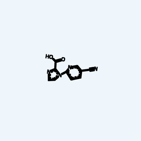 N#Cc1ccc(-n2ccnc2C(=O)O)nc1